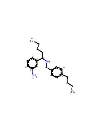 CCCCc1ccc(CNC(CCCC)c2cccc(N)c2)cc1